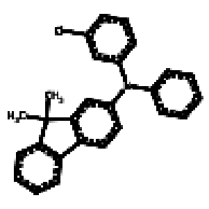 CC1(C)c2ccccc2-c2ccc(N(c3ccccc3)c3cccc(Cl)c3)cc21